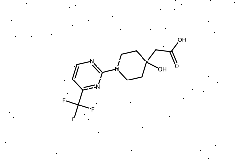 O=C(O)CC1(O)CCN(c2nccc(C(F)(F)F)n2)CC1